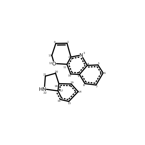 C1=Cc2nc3ccccc3cc2OC1.c1ccc2c(c1)CCN2